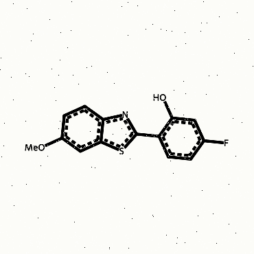 COc1ccc2nc(-c3ccc(F)cc3O)sc2c1